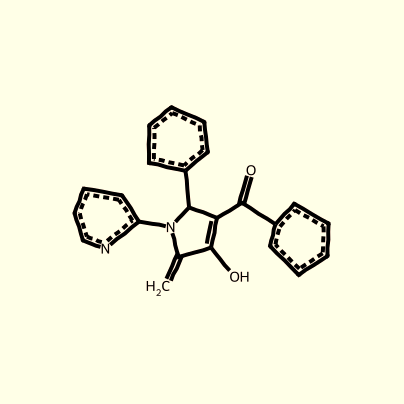 C=C1C(O)=C(C(=O)c2ccccc2)C(c2ccccc2)N1c1ccccn1